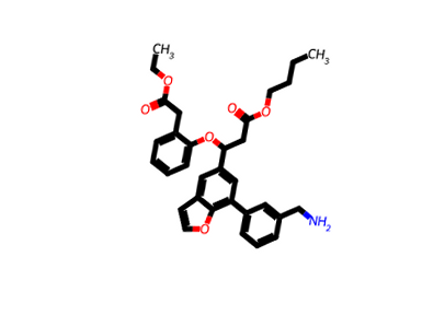 CCCCOC(=O)CC(Oc1ccccc1CC(=O)OCC)c1cc(-c2cccc(CN)c2)c2occc2c1